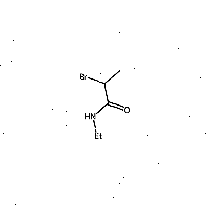 [CH2]CNC(=O)C(C)Br